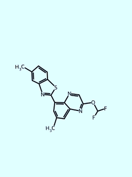 Cc1ccc2sc(-c3cc(C)cc4nc(OC(F)F)cnc34)nc2c1